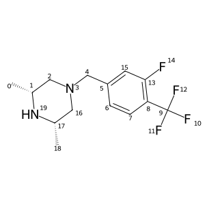 C[C@@H]1CN(Cc2ccc(C(F)(F)F)c(F)c2)C[C@H](C)N1